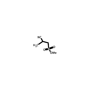 COS(=O)(=O)CC(C)C#N